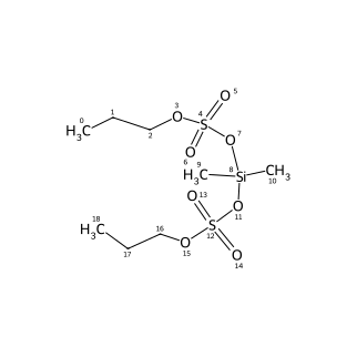 CCCOS(=O)(=O)O[Si](C)(C)OS(=O)(=O)OCCC